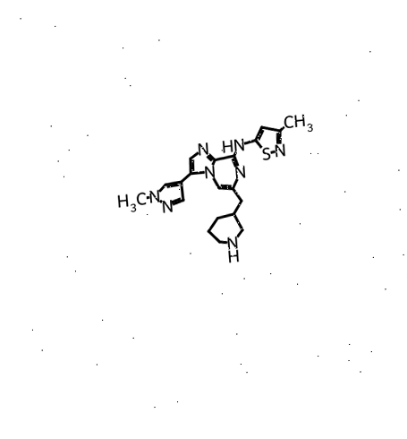 Cc1cc(Nc2nc(CC3CCCNC3)cn3c(-c4cnn(C)c4)cnc23)sn1